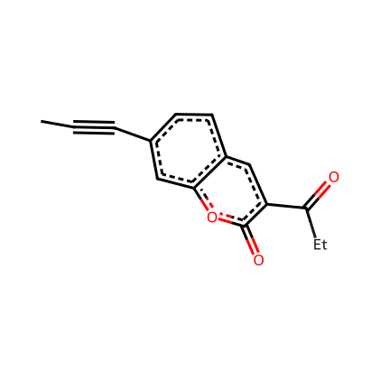 CC#Cc1ccc2cc(C(=O)CC)c(=O)oc2c1